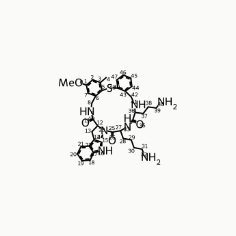 COc1cc(C)c2c(c1)CNC(=O)C(Cc1c[nH]c3ccccc13)N(C)C(=O)C(CCCCN)NC(=O)C(CCCN)NCc1ccccc1S2